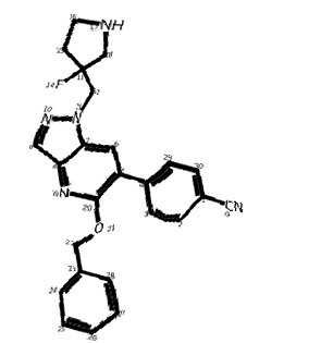 N#Cc1ccc(-c2cc3c(cnn3CC3(F)CCNC3)nc2OCc2ccccc2)cc1